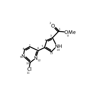 COC(=O)c1cc(-c2ccnc(Cl)n2)c[nH]1